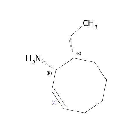 CC[C@@H]1CCCC/C=C\[C@@H]1N